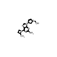 CC1CCN1c1nc(N)nc2c1ncn2[C@H]1C=C[C@@H](CO)C1